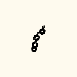 Clc1cccc(Sc2cnc(N3CCC4(CCCC4)CC3)cn2)c1